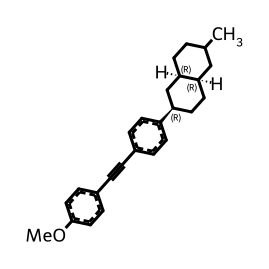 COc1ccc(C#Cc2ccc([C@@H]3CC[C@@H]4CC(C)CC[C@@H]4C3)cc2)cc1